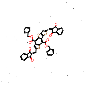 O=C1C(=Cc2cc3c(C(=O)OCc4ccccc4)c4sc5cc(C=C6C(=O)c7ccccc7C6=O)sc5c4c(C(=O)OCc4ccccc4)c3s2)C(=O)c2ccccc21